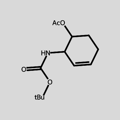 CC(=O)OC1CCC=CC1NC(=O)OC(C)(C)C